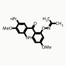 CCCc1cc(C(=O)c2ccc(OC)cc2ON=C(C)C)c(CCC)cc1OC